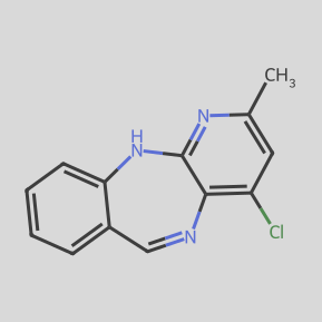 Cc1cc(Cl)c2c(n1)Nc1ccccc1C=N2